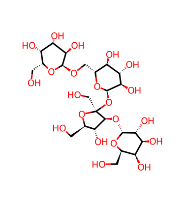 OC[C@H]1O[C@H](O[C@H]2[C@H](O)[C@@H](CO)O[C@@]2(CO)O[C@H]2O[C@H](CO[C@H]3O[C@H](CO)[C@H](O)[C@H](O)[C@H]3O)[C@@H](O)[C@H](O)[C@H]2O)[C@H](O)[C@@H](O)[C@H]1O